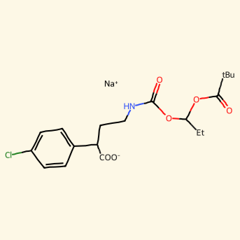 CCC(OC(=O)NCCC(C(=O)[O-])c1ccc(Cl)cc1)OC(=O)C(C)(C)C.[Na+]